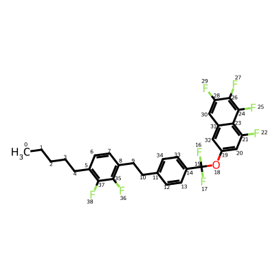 CCCCCc1ccc(CCc2ccc(C(F)(F)Oc3cc(F)c4c(F)c(F)c(F)cc4c3)cc2)c(F)c1F